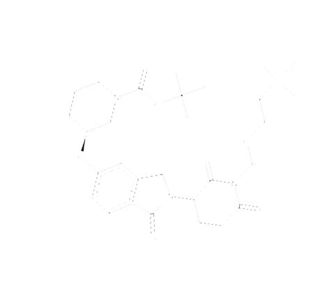 C[C@@H]1CCN(C(=O)OC(C)(C)C)C[C@H]1Oc1ccc2c(c1)CN(C1CCC(=O)N(COCC[Si](C)(C)C)C1=O)C2=O